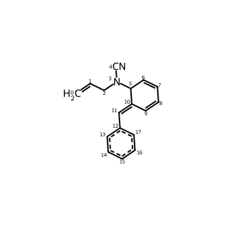 C=CCN(C#N)C1C=CC=CC1=Cc1ccccc1